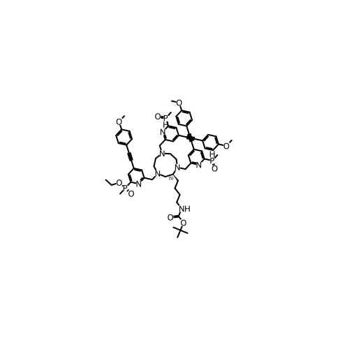 CCOP(C)(=O)c1cc(C#Cc2ccc(OC)cc2)cc(CN2CCN(Cc3cc(C#Cc4ccc(OC)cc4)cc([PH](C)=O)n3)CCN(Cc3cc(C#Cc4ccc(OC)cc4)cc([PH](C)=O)n3)[C@@H](CCCCNC(=O)OC(C)(C)C)C2)n1